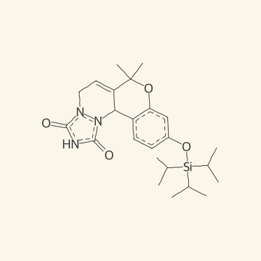 CC(C)[Si](Oc1ccc2c(c1)OC(C)(C)C1=CCn3c(=O)[nH]c(=O)n3C12)(C(C)C)C(C)C